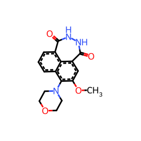 COc1cc2c3c(cccc3c1N1CCOCC1)C(=O)NNC2=O